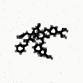 C#CCN(C(=O)NCC1=CCCC=C1)N1CC(=O)N2[C@@H](Cc3ccc(N(C)C)cc3)C(=O)N(Cc3cccc4sc(N)nc34)C[C@@H]21